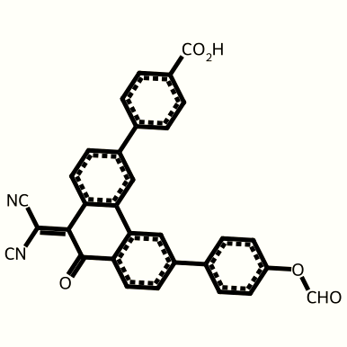 [C-]#[N+]/C(C#N)=C1\C(=O)c2ccc(-c3ccc(OC=O)cc3)cc2-c2cc(-c3ccc(C(=O)O)cc3)ccc21